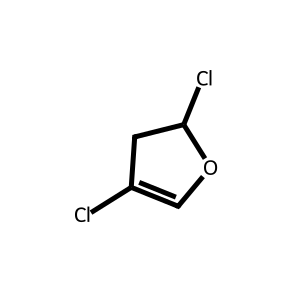 ClC1=COC(Cl)C1